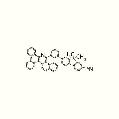 CC1(C)c2cc(C#N)ccc2-c2ccc(-c3cccc(-c4nc5c6ccccc6c6ccccc6c5c5ccc6ccccc6c45)c3)cc21